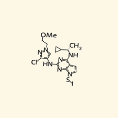 COCCn1cc(Nc2nc(N[C@@H](C)C3CC3)c3ccn(SI)c3n2)c(Cl)n1